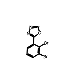 Brc1cccc(-c2nn[c]o2)c1Br